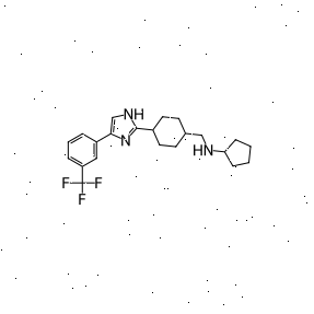 FC(F)(F)c1cccc(-c2c[nH]c(C3CCC(CNC4CCCC4)CC3)n2)c1